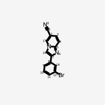 N#Cc1ccc2nc(-c3cccc(Br)c3)cn2c1